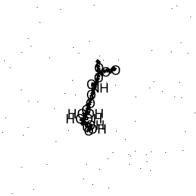 CCCOCC(C)(COCCC=O)COCCC(=O)NCCOCCOCCOC(O)C(O)C(O)C(O)C(C)COP(=O)(O)O